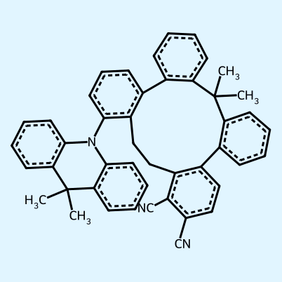 CC1(C)c2ccccc2-c2cccc(N3c4ccccc4C(C)(C)c4ccccc43)c2CCc2c(ccc(C#N)c2C#N)-c2ccccc21